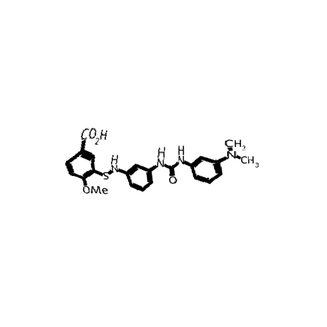 COc1ccc(C(=O)O)cc1SNc1cccc(NC(=O)Nc2cccc(N(C)C)c2)c1